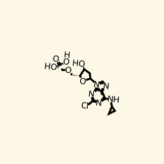 O=P(O)(O)COC[C@H]1OC(n2cnc3c(NC4CC4)nc(Cl)nc32)C[C@@H]1O